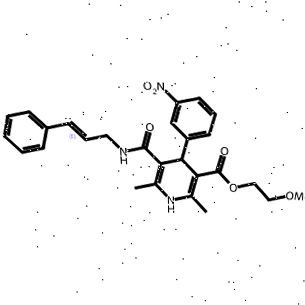 COCCOC(=O)C1=C(C)NC(C)=C(C(=O)NC/C=C/c2ccccc2)C1c1cccc([N+](=O)[O-])c1